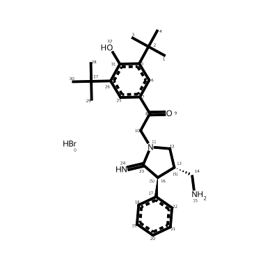 Br.CC(C)(C)c1cc(C(=O)CN2C[C@H](CN)[C@@H](c3ccccc3)C2=N)cc(C(C)(C)C)c1O